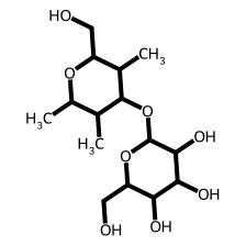 CC1OC(CO)C(C)C(OC2OC(CO)C(O)C(O)C2O)C1C